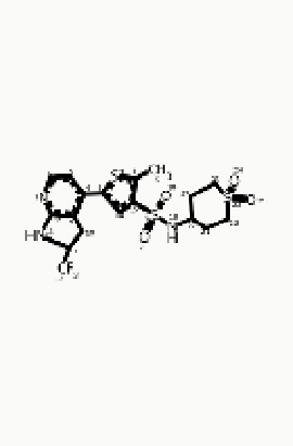 Cc1sc(-c2ccnc3c2CC(C(F)(F)F)N3)cc1S(=O)(=O)NC1CCS(=O)(=O)CC1